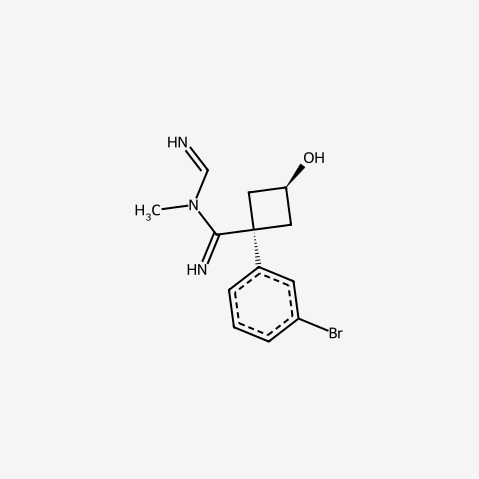 CN(C=N)C(=N)[C@]1(c2cccc(Br)c2)C[C@H](O)C1